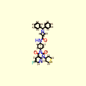 O=C(NC1CCC(n2c(=O)c3cc(F)cnc3n(C3CCSCC3)c2=O)CC1)C1CN(C(c2ccccc2)c2ccccc2)C1